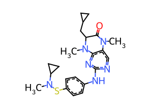 CN1C(=O)C(CC2CC2)N(C)c2nc(Nc3ccc(SN(C)C4CC4)cc3)ncc21